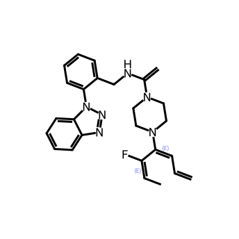 C=C/C=C(\C(F)=C/C)N1CCN(C(=C)NCc2ccccc2-n2nnc3ccccc32)CC1